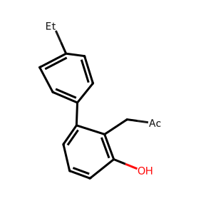 CCc1ccc(-c2cccc(O)c2CC(C)=O)cc1